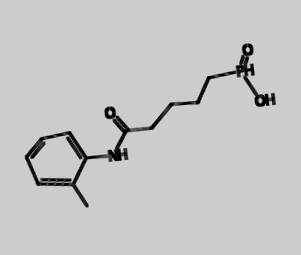 Cc1ccccc1NC(=O)CCCC[PH](=O)O